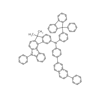 CC1(C)c2ccc(N(c3ccc(-c4ccc5ccc(-c6ccccc6)cc5c4)cc3)c3cccc(C4(c5ccccc5)c5ccccc5-c5ccccc54)c3)cc2-c2c1ccc1c2c2ccccc2n1-c1ccccc1